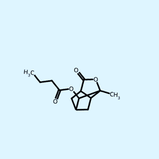 CCCC(=O)OC1C2CC3C(=O)OC1(C)C3C2